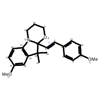 COc1ccc(/C=C/C23OCCCN2c2ccc(OC)cc2C3(C)C)cc1